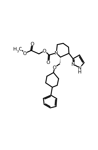 COC(=O)COC(=O)N1CCCC(c2cc[nH]n2)[C@@H]1COC1CCC(c2ccccc2)CC1